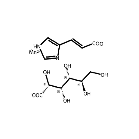 O=C([O-])C=Cc1c[nH]cn1.O=C([O-])[C@H](O)[C@@H](O)[C@H](O)[C@H](O)CO.[Mn+2]